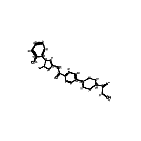 CC1SC(NC(=O)c2ccc(N3CCN(C(=O)CO)CC3)cn2)=NC1c1ccccc1Cl